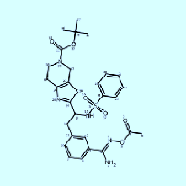 CC(=O)ON=C(N)c1cccc(CC(NS(=O)(=O)c2ccccc2)c2nc3c(s2)CN(C(=O)OC(C)(C)C)CC3)c1